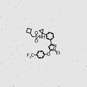 CCn1nc(-c2cccc(C3(NS(=O)(=O)CC4CCC4)CC3)c2)cc1Oc1ccc(C(F)(F)F)cc1